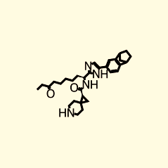 CCC(=O)CCCCC[C@H](NC(=O)[C@H]1CC12CCNCC2)c1ncc(-c2ccc3c(c2)C2CCC3C2)[nH]1